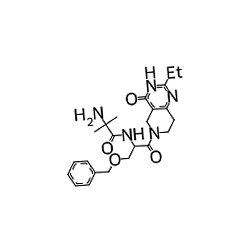 CCc1nc2c(c(=O)[nH]1)CN(C(=O)C(COCc1ccccc1)NC(=O)C(C)(C)N)CC2